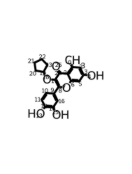 Cc1cc(O)cc2oc(-c3ccc(O)c(O)c3)c(OC3CCCC3)c(=O)c12